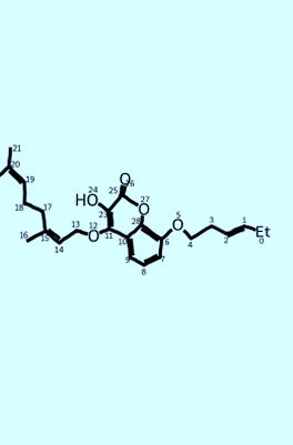 CCC=CCCOc1cccc2c(OCC=C(C)CCC=C(C)C)c(O)c(=O)oc12